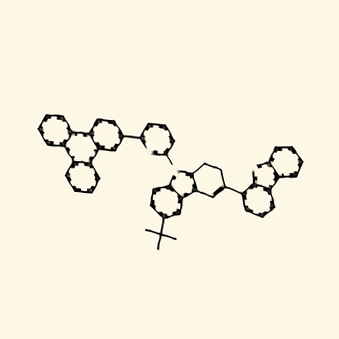 CC(C)(C)c1ccc2c(c1)c1c(n2-c2cccc(-c3ccc4c5ccccc5c5ccccc5c4c3)n2)CCC(c2cccc3c2sc2ccccc23)=C1